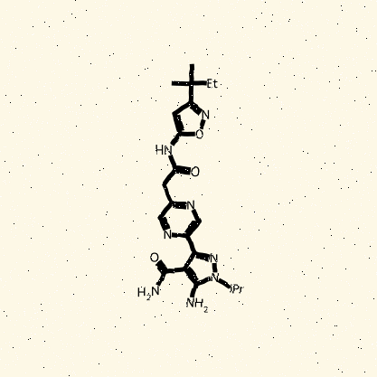 CCC(C)(C)c1cc(NC(=O)Cc2cnc(-c3nn(C(C)C)c(N)c3C(N)=O)cn2)on1